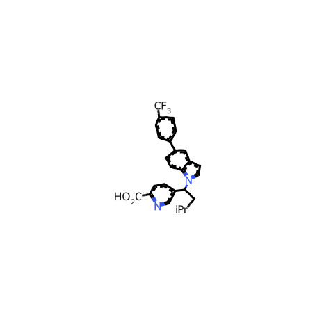 CC(C)CC(c1ccc(C(=O)O)nc1)n1ccc2cc(-c3ccc(C(F)(F)F)cc3)ccc21